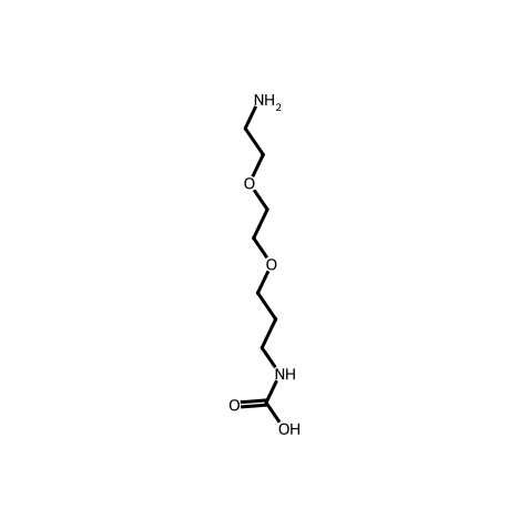 NCCOCCOCCCNC(=O)O